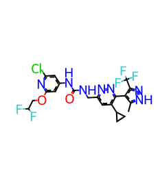 Cc1[nH]nc(C(F)(F)F)c1-c1nnc(CNC(=O)Nc2cc(Cl)nc(OCC(F)F)c2)cc1C1CC1